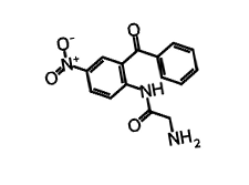 NCC(=O)Nc1ccc([N+](=O)[O-])cc1C(=O)c1ccccc1